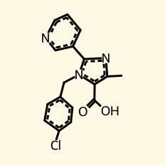 Cc1nc(-c2cccnc2)n(Cc2ccc(Cl)cc2)c1C(=O)O